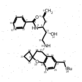 C=CC[C@H](NC(=O)c1cccnc1)[C@H](O)CN[C@H]1CC2(CCC2)Oc2ncc(CC(C)(C)C)cc21